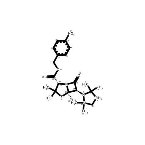 CC1(C)S[C@@H]2[C@H](N3C(C)(C)[SiH2]C[Si]3(C)C)C(=O)N2[C@H]1C(=O)OCc1ccc([N+](=O)[O-])cc1